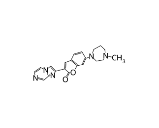 CN1CCCN(c2ccc3cc(-c4cn5ccncc5n4)c(=O)oc3c2)CC1